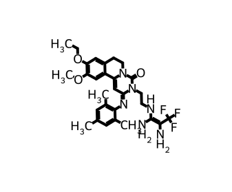 CCOc1cc2c(cc1OC)-c1c/c(=N\c3c(C)cc(C)cc3C)n(CCN/C(N)=C(/N)C(F)(F)F)c(=O)n1CC2